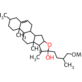 COCC(C)CCC1(O)OC2CC3C4CC=C5CC(C)CCC5(C)C4CCC3(C)C2C1C